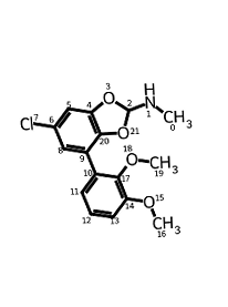 CNC1Oc2cc(Cl)cc(-c3cccc(OC)c3OC)c2O1